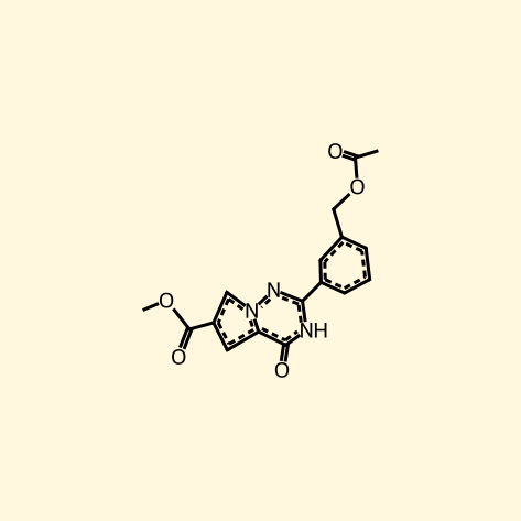 COC(=O)c1cc2c(=O)[nH]c(-c3cccc(COC(C)=O)c3)nn2c1